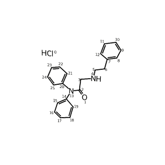 Cl.O=C(CNCCc1ccccc1)N(c1ccccc1)c1ccccc1